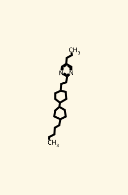 CCCCCC1CCC(C2CCC(CCc3ncc(CCC)cn3)CC2)CC1